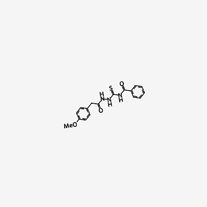 COc1ccc(CC(=O)NNC(=S)NC(=O)c2ccccc2)cc1